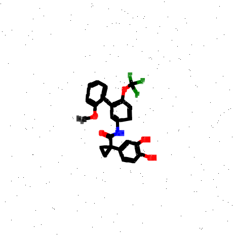 COc1ccccc1-c1cc(NC(=O)C2(c3ccc(O)c(O)c3)CC2)ccc1OC(F)(F)F